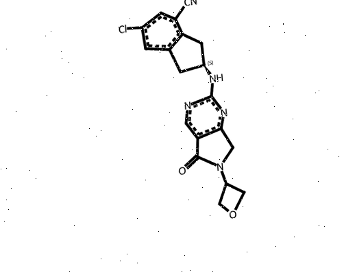 N#Cc1cc(Cl)cc2c1C[C@@H](Nc1ncc3c(n1)CN(C1COC1)C3=O)C2